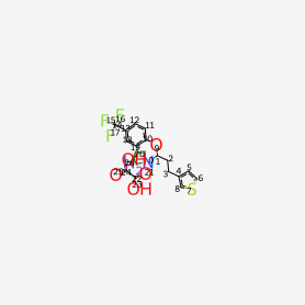 NC(CCc1ccsc1)Oc1ccc(C(F)(F)F)cc1Cl.O=C(O)C(=O)O